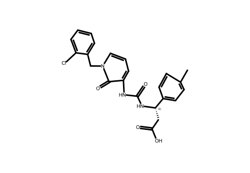 Cc1ccc([C@H](CC(=O)O)NC(=O)Nc2cccn(Cc3ccccc3Cl)c2=O)cc1